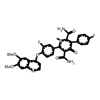 COc1cc2nccc(Oc3ccc(-c4c(C(N)=O)c(=O)c(-c5ccc(F)cc5)c(C(N)=O)n4C)cc3F)c2cc1OC